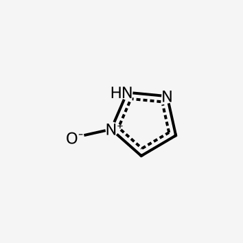 [O-][n+]1ccn[nH]1